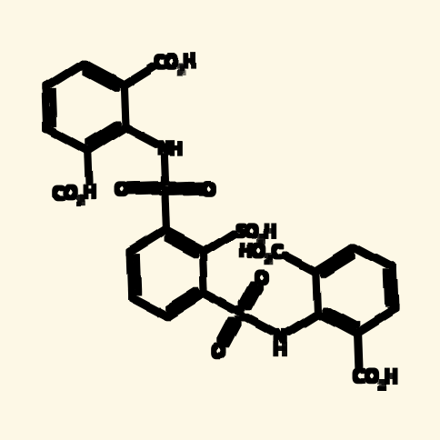 O=C(O)c1cccc(C(=O)O)c1NS(=O)(=O)c1cccc(S(=O)(=O)Nc2c(C(=O)O)cccc2C(=O)O)c1S(=O)(=O)O